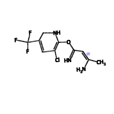 C/C(N)=C/C(=N)OC1=C(Cl)C=C(C(F)(F)F)CN1